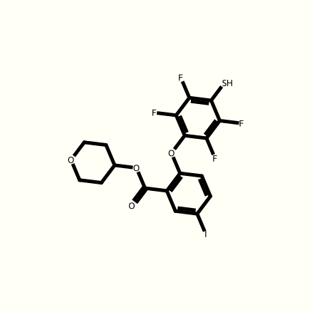 O=C(OC1CCOCC1)c1cc(I)ccc1Oc1c(F)c(F)c(S)c(F)c1F